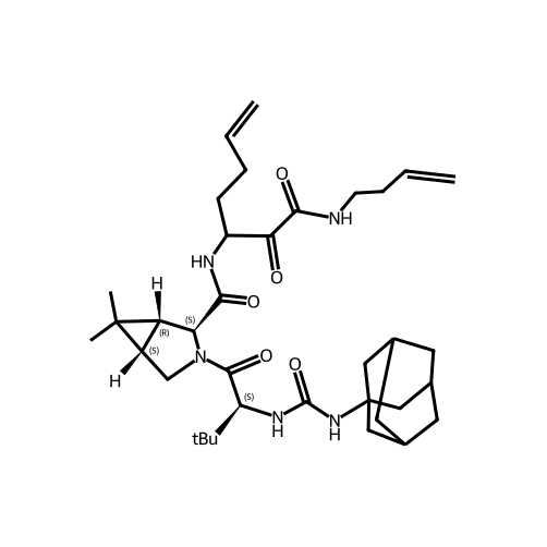 C=CCCNC(=O)C(=O)C(CCC=C)NC(=O)[C@@H]1[C@@H]2[C@H](CN1C(=O)[C@@H](NC(=O)NC13CC4CC(CC(C4)C1)C3)C(C)(C)C)C2(C)C